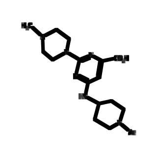 CC(=O)N1CCC(Nc2cc(C(=O)O)nc(N3CCN(C)CC3)n2)CC1